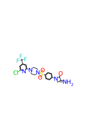 N[C@H]1CN(c2ccc(S(=O)(=O)N3CCN(c4cc(C(F)(F)F)cc(Cl)n4)CC3)cc2)C1=O